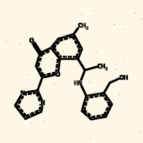 Cc1cc(C(C)Nc2ccccc2CO)c2oc(-c3ncccn3)cc(=O)c2c1